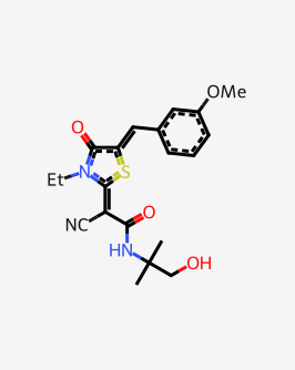 CCn1c(=O)/c(=C/c2cccc(OC)c2)s/c1=C(/C#N)C(=O)NC(C)(C)CO